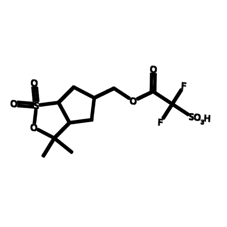 CC1(C)OS(=O)(=O)C2CC(COC(=O)C(F)(F)S(=O)(=O)O)CC21